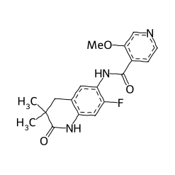 COc1cnccc1C(=O)Nc1cc2c(cc1F)NC(=O)C(C)(C)C2